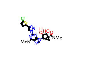 CNC(=O)[C@]12CC1[C@@H](n1cnc3c(NC)nc(-n4cc(-c5ccc(Cl)s5)nn4)nc31)C(O)[C@@H]2O